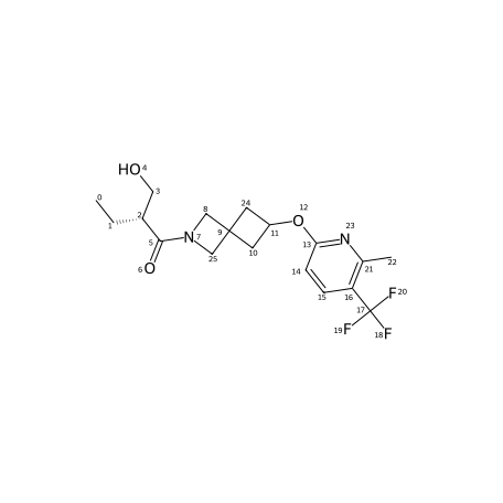 CC[C@H](CO)C(=O)N1CC2(CC(Oc3ccc(C(F)(F)F)c(C)n3)C2)C1